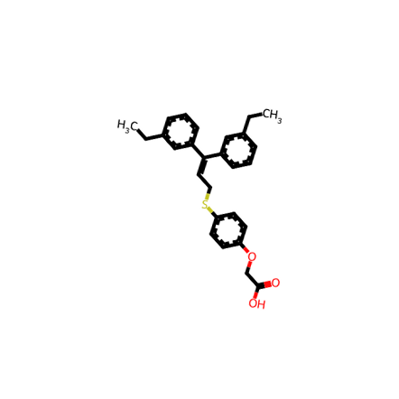 CCc1cccc(C(=CCSc2ccc(OCC(=O)O)cc2)c2cccc(CC)c2)c1